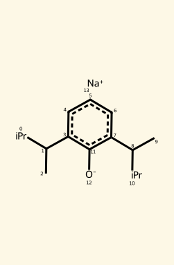 CC(C)C(C)c1cccc(C(C)C(C)C)c1[O-].[Na+]